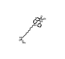 CCNC(=O)c1cnc2ccc(NCCCCCCCCCCNC(=O)OC(C)(C)C)cc2c1Nc1ccccc1